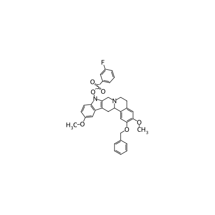 COc1ccc2c(c1)c1c(n2OS(=O)(=O)c2cccc(F)c2)CN2CCc3cc(OC)c(OCc4ccccc4)cc3C2C1